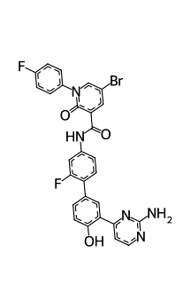 Nc1nccc(-c2cc(-c3ccc(NC(=O)c4cc(Br)cn(-c5ccc(F)cc5)c4=O)cc3F)ccc2O)n1